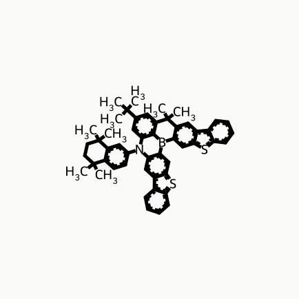 CC(C)(C)c1cc2c3c(c1)C(C)(C)c1cc4c(cc1B3c1cc3sc5ccccc5c3cc1N2c1ccc2c(c1)C(C)(C)CCC2(C)C)sc1ccccc14